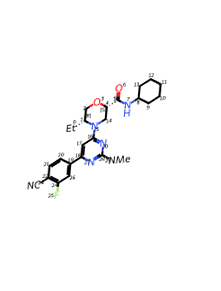 CC[C@@H]1CO[C@H](C(=O)NC2CCCCC2)CN1c1cc(-c2ccc(C#N)c(F)c2)nc(NC)n1